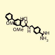 COc1ccccc1-c1ccc([C@H](OC)C(=O)NCc2ccc(C(=N)N)cc2)c(F)c1.Cl